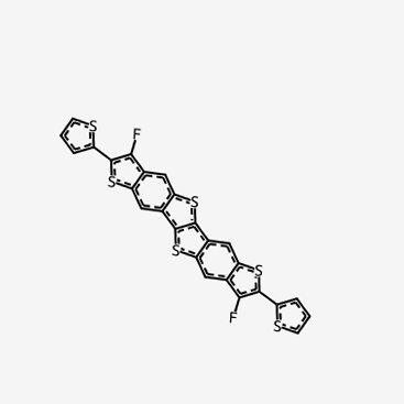 Fc1c(-c2cccs2)sc2cc3c(cc12)sc1c2cc4sc(-c5cccs5)c(F)c4cc2sc31